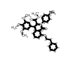 COC(=O)c1c(-c2cc(OC)c(OC)c(OC)c2)c2cccc(OCCc3ccccc3)c2c(=O)n1-c1ccc(N)cc1.Cl